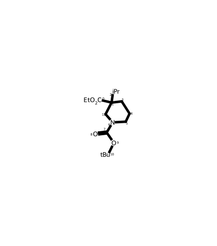 CCOC(=O)C1(C(C)C)CCCN(C(=O)OC(C)(C)C)C1